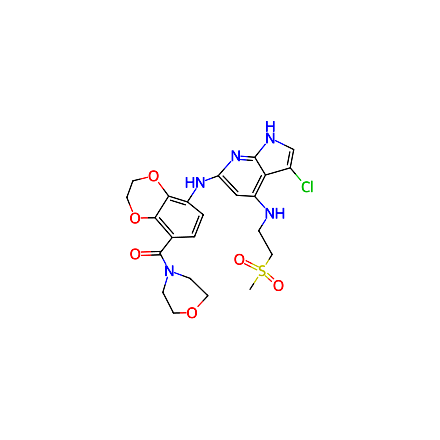 CS(=O)(=O)CCNc1cc(Nc2ccc(C(=O)N3CCOCC3)c3c2OCCO3)nc2[nH]cc(Cl)c12